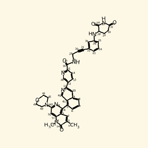 Cc1cc2c(-c3cccc4cc(-c5ccc(C(=O)NCC#Cc6cccc(NC7CCC(=O)NC7=O)c6)nc5)ncc34)nc(N3CCOCC3)cc2n(C)c1=O